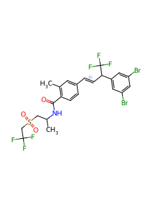 Cc1cc(/C=C/C(c2cc(Br)cc(Br)c2)C(F)(F)F)ccc1C(=O)NC(C)CS(=O)(=O)CC(F)(F)F